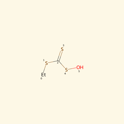 CCSC(=S)SO